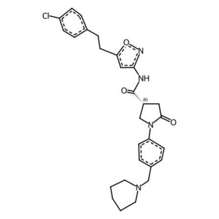 O=C(Nc1cc(CCc2ccc(Cl)cc2)on1)[C@@H]1CC(=O)N(c2ccc(CN3CCCCC3)cc2)C1